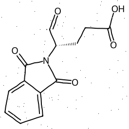 O=[C][C@H](CCC(=O)O)N1C(=O)c2ccccc2C1=O